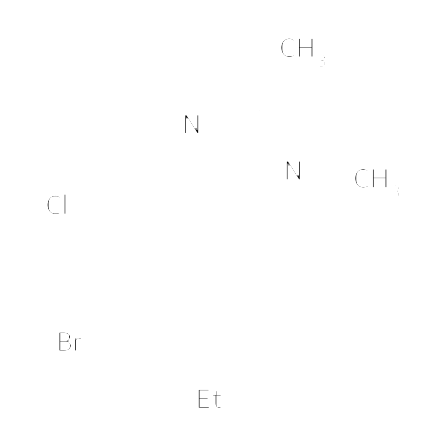 CCc1cc2c(nc(C)n2C)c(Cl)c1Br